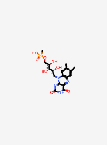 Cc1cc2nc3c(=O)[nH]c(=O)nc-3n(C[C@H](O)[C@H](O)[C@H](O)COP(C)(=O)O)c2cc1C